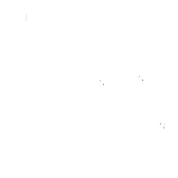 Clc1ccc2c(c1)Sc1ccccc1N2C1=CCCN1C1=NCCC1